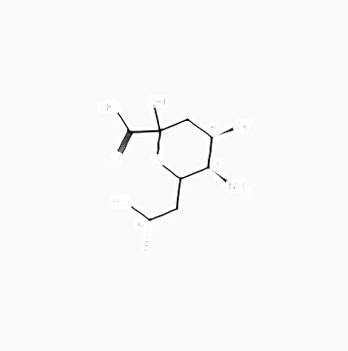 C[C@H](O)CC1OC(O)(C(=O)O)C[C@@H](O)[C@H]1N